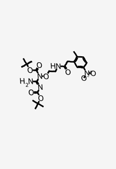 Cc1ccc([N+](=O)[O-])cc1CC(=O)NCCON(C(=O)OC(C)(C)C)C(N)=NC(=O)OC(C)(C)C